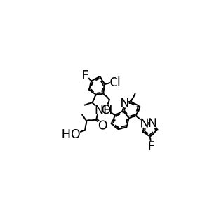 Cc1cc(-n2cc(F)cn2)c2cccc(OCc3c(Cl)cc(F)cc3C(C)NC(=O)C(C)CO)c2n1